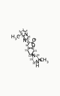 Cc1cccn2cc(-c3cc4ccc(N5CCN[C@H](C)C5)cc4oc3=O)nc12